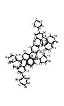 Fc1cc(-c2ccccc2)cc(-c2ccccc2)c1N(c1ccccc1)c1ccc2c(c1)N(c1ccccc1)c1cccc3c(N(c4ccccc4)c4c(F)cc(-c5ccccc5)cc4-c4ccccc4)ccc-2c13